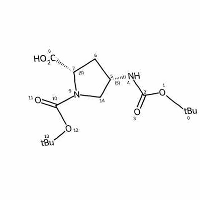 CC(C)(C)OC(=O)N[C@H]1C[C@@H](C(=O)O)N(C(=O)OC(C)(C)C)C1